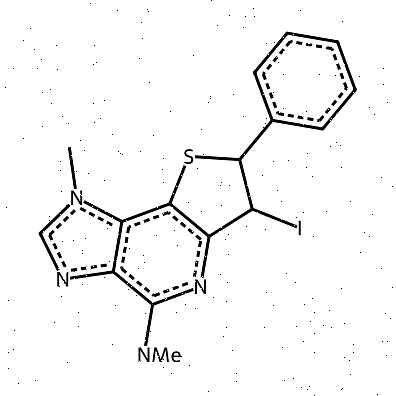 CNc1nc2c(c3c1ncn3C)SC(c1ccccc1)C2I